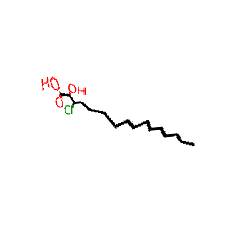 CCCCCCCCCCCCCC(Cl)C(O)C(=O)O